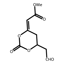 COC(=O)C=C1CC(CC=O)OC(=O)O1